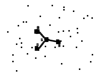 [Si][Si](Br)Br